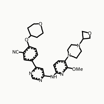 COc1nc(Nc2cc(-c3ccc(OC4CCOCC4)c(C#N)c3)ncn2)ccc1N1CCN(C2COC2)CC1